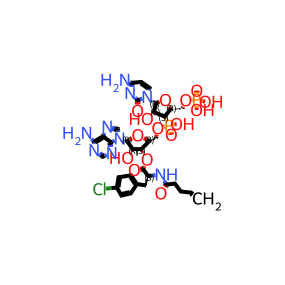 C=CCCC(=O)N[C@@H](Cc1ccc(Cl)cc1)C(=O)O[C@H]1[C@@H](O)[C@H](n2cnc3c(N)ncnc32)O[C@@H]1COP(=O)(O)[C@H]1[C@@H](O)[C@H](n2ccc(N)nc2=O)O[C@@H]1COP(=O)(O)O